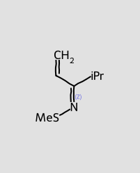 C=C/C(=N\SC)C(C)C